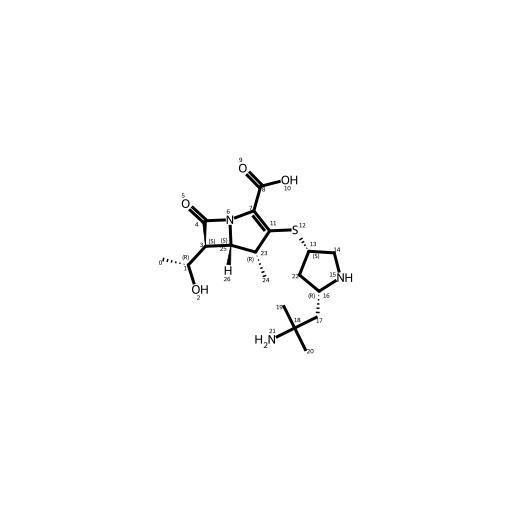 C[C@@H](O)[C@H]1C(=O)N2C(C(=O)O)=C(S[C@@H]3CN[C@H](CC(C)(C)N)C3)[C@H](C)[C@H]12